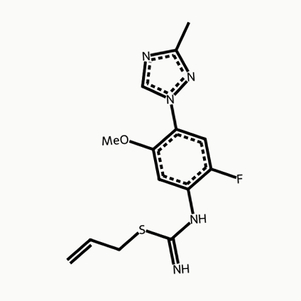 C=CCSC(=N)Nc1cc(OC)c(-n2cnc(C)n2)cc1F